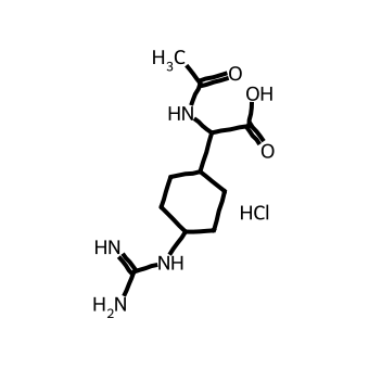 CC(=O)NC(C(=O)O)C1CCC(NC(=N)N)CC1.Cl